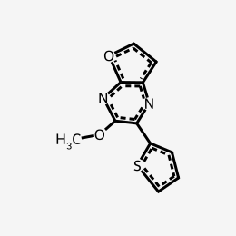 COc1nc2occc2nc1-c1cccs1